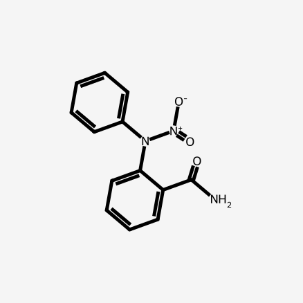 NC(=O)c1ccccc1N(c1ccccc1)[N+](=O)[O-]